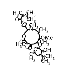 CO[C@]1(C)C[C@@H](C)CN(C)C(C2CN(C(=O)[C@@H](C)N(C)C)C2)COC(=O)C(C)(C)C(=O)C[C@H]1O[C@@H]1O[C@H](C)C[C@H](N(C)C)[C@H]1O